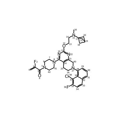 C=C(F)C(=O)N1CCN(c2nc(OCCN(C)C34CC(C3)C4)nc3c2CCN(c2cccc4ccc(F)c(Cl)c24)C3)CC1